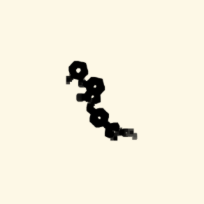 Cn1cc(-c2ccc(CN3Cc4cccc(O[C@@H]5CCCC[C@H]5F)c4C3=O)cc2)cn1